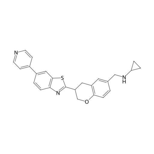 c1cc(-c2ccc3nc(C4COc5ccc(CNC6CC6)cc5C4)sc3c2)ccn1